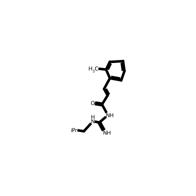 Cc1ccccc1C=CC(=O)NC(=N)NCC(C)C